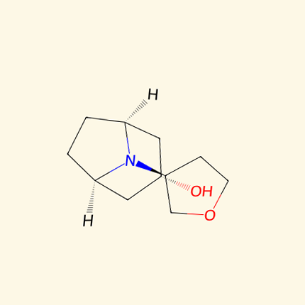 O[C@@H]1C[C@H]2CC[C@@H](C1)N2[C@H]1CCOC1